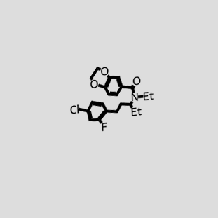 CCC(CCc1ccc(Cl)cc1F)N(CC)C(=O)c1ccc2c(c1)OCCO2